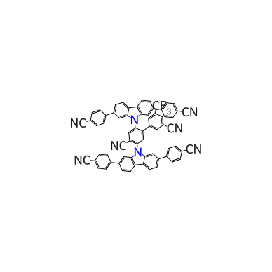 N#Cc1ccc(-c2ccc3c4ccc(-c5ccc(C#N)cc5)cc4n(-c4cc(-c5cc(C#N)cc(C(F)(F)F)c5)c(-n5c6cc(-c7ccc(C#N)cc7)ccc6c6ccc(-c7ccc(C#N)cc7)cc65)cc4C#N)c3c2)cc1